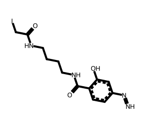 N=Nc1ccc(C(=O)NCCCCNC(=O)CI)c(O)c1